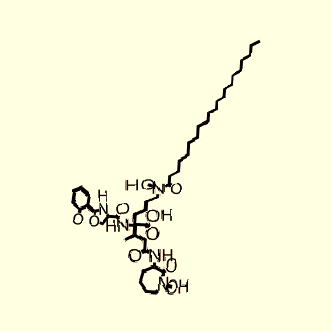 CCCCCCCCCCCCCCCCCCCCC(=O)N(O)CCCCC(NC(=O)C1COC(=C2C=CC=CC2=O)N1)(C(=O)O)C(C)CC(=O)NC1CCCCN(O)C1=O